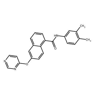 Cc1ccc(NC(=O)c2cccc3cc(Oc4ccncn4)ccc23)cc1C